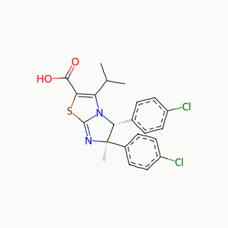 CC(C)C1=C(C(=O)O)SC2=N[C@](C)(c3ccc(Cl)cc3)[C@@H](c3ccc(Cl)cc3)N21